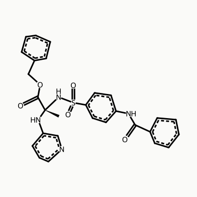 C[C@](Nc1cccnc1)(NS(=O)(=O)c1ccc(NC(=O)c2ccccc2)cc1)C(=O)OCc1ccccc1